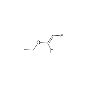 CCO/C(F)=C/F